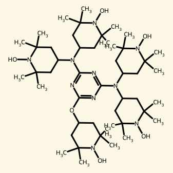 CC1(C)CC(Oc2nc(N(C3CC(C)(C)N(O)C(C)(C)C3)C3CC(C)(C)N(O)C(C)(C)C3)nc(N(C3CC(C)(C)N(O)C(C)(C)C3)C3CC(C)(C)N(O)C(C)(C)C3)n2)CC(C)(C)N1O